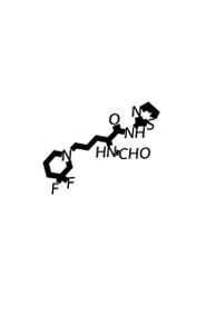 O=CNC(CCCN1CCCC(F)(F)C1)C(=O)Nc1nccs1